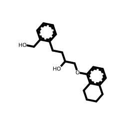 OCc1ccccc1CCC(O)COc1cccc2c1CCCC2